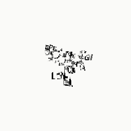 CCCOc1ccc(-c2nn3c(C)c(Cl)c(C)nc3c2CC(=O)N(CC)CC)cc1